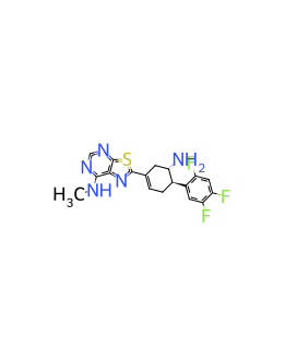 CNc1ncnc2sc(C3=CC[C@H](c4cc(F)c(F)cc4F)[C@@H](N)C3)nc12